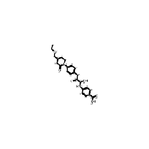 CCOCC1CCN(c2ccc(CC(Cl)C(O)Nc3ccc(C(=O)O)cc3)cc2)C(=O)C1